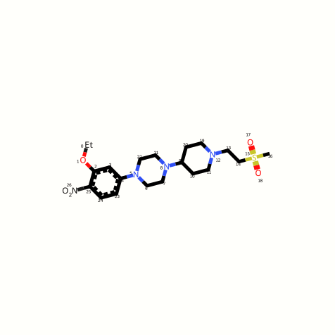 CCOc1cc(N2CCN(C3CCN(CCS(C)(=O)=O)CC3)CC2)ccc1[N+](=O)[O-]